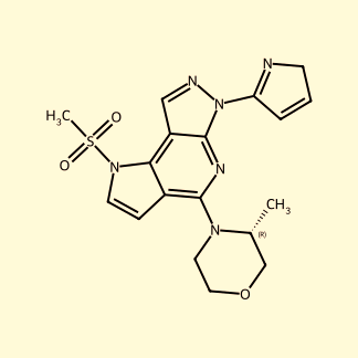 C[C@@H]1COCCN1c1nc2c(cnn2C2=NCC=C2)c2c1ccn2S(C)(=O)=O